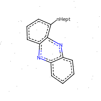 CCCCCCCc1cccc2nc3ccccc3nc12